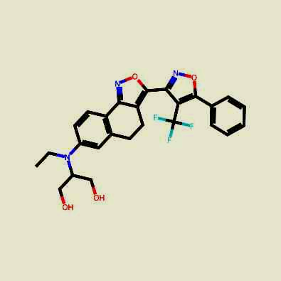 CCN(c1ccc2c(c1)CCc1c-2noc1-c1noc(-c2ccccc2)c1C(F)(F)F)C(CO)CO